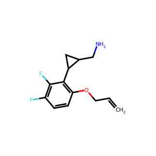 C=CCOc1ccc(F)c(F)c1C1CC1CN